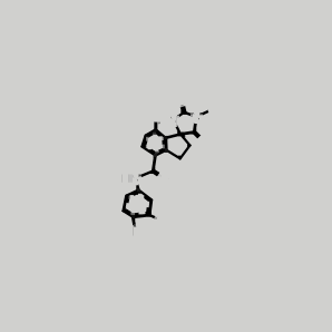 CN1C(=O)NC2(CCc3c(C(=O)Nc4ccc(F)c(Cl)c4)ccc(F)c32)C1=O